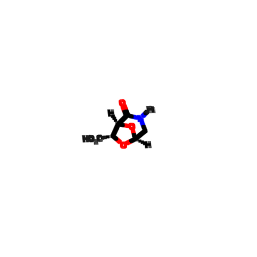 CCN1C[C@H]2O[C@H](C(=O)O)[C@H](O2)C1=O